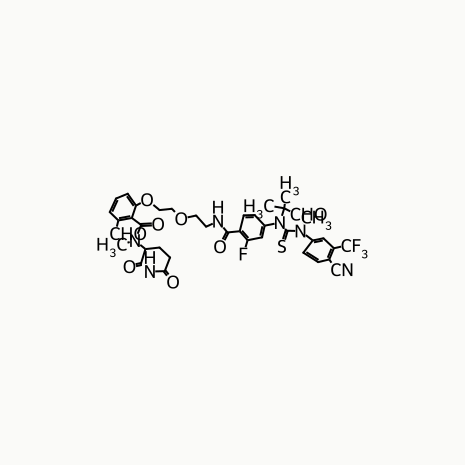 CN(C(=S)N(c1ccc(C(=O)NCCOCCOc2cccc(C=O)c2C(=O)N(C)C2CCC(=O)NC2=O)c(F)c1)C(C)(C)C=O)c1ccc(C#N)c(C(F)(F)F)c1